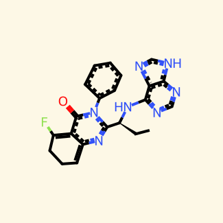 CC[C@H](Nc1ncnc2[nH]cnc12)c1nc2c(c(=O)n1-c1ccccc1)=C(F)CCC=2